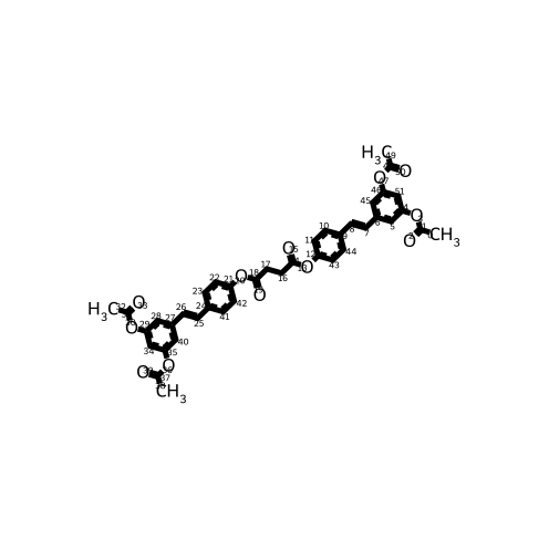 CC(=O)Oc1cc(/C=C/c2ccc(OC(=O)CCC(=O)Oc3ccc(/C=C/c4cc(OC(C)=O)cc(OC(C)=O)c4)cc3)cc2)cc(OC(C)=O)c1